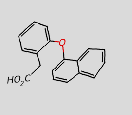 O=C(O)Cc1ccccc1Oc1cccc2ccccc12